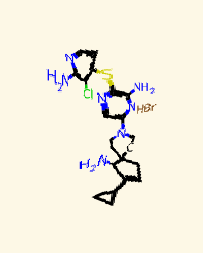 Br.Nc1nc(N2CCC3(CC=C(C4CC4)[C@H]3N)CC2)cnc1Sc1ccnc(N)c1Cl